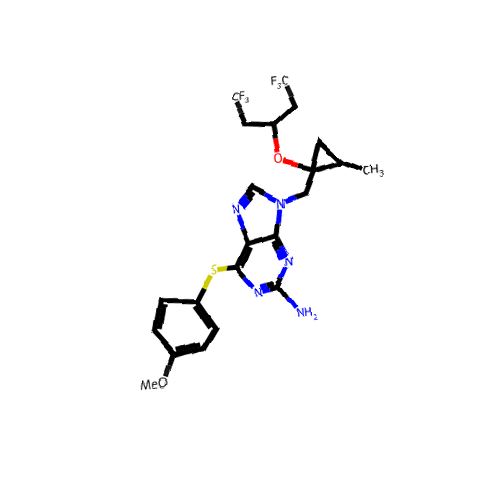 COc1ccc(Sc2nc(N)nc3c2ncn3CC2(OC(CC(F)(F)F)CC(F)(F)F)CC2C)cc1